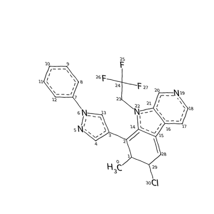 CC1C(c2cnn(-c3ccccc3)c2)=c2c(c3ccncc3n2CC(F)(F)F)=CC1Cl